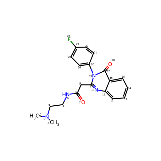 CN(C)CCNC(=O)[CH]c1nc2ccccc2c(=O)n1-c1ccc(F)cc1